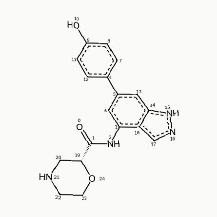 O=C(Nc1cc(-c2ccc(O)cc2)cc2[nH]ncc12)[C@H]1CNCCO1